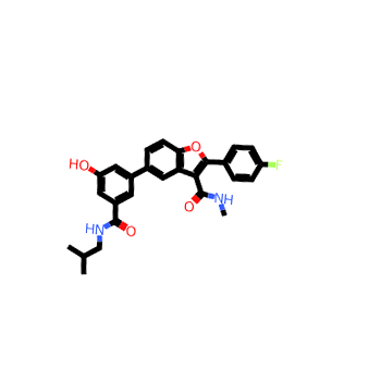 CNC(=O)c1c(-c2ccc(F)cc2)oc2ccc(-c3cc(O)cc(C(=O)NCC(C)C)c3)cc12